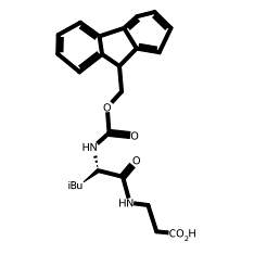 CC[C@H](C)[C@H](NC(=O)OCC1c2ccccc2-c2ccccc21)C(=O)NCCC(=O)O